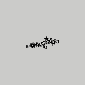 C=CC(c1cc2ccc(Cl)cc2s1)S(=O)(=O)N1CCN(Cc2nc(-c3ccc(Br)cc3)cs2)C(C=O)C1